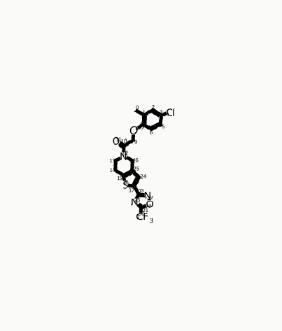 Cc1cc(Cl)ccc1OCC(=O)N1CCc2sc(-c3noc(C(F)(F)F)n3)cc2C1